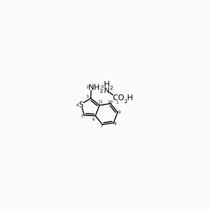 NC(=O)O.Nc1scc2ccccc12